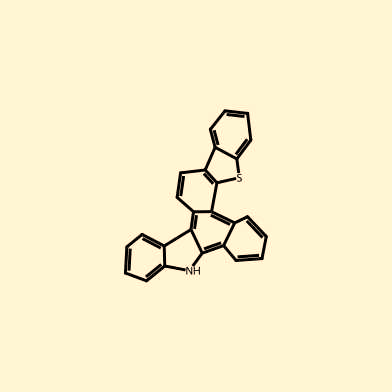 c1ccc2c(c1)[nH]c1c3ccccc3c3c(ccc4c5ccccc5sc43)c21